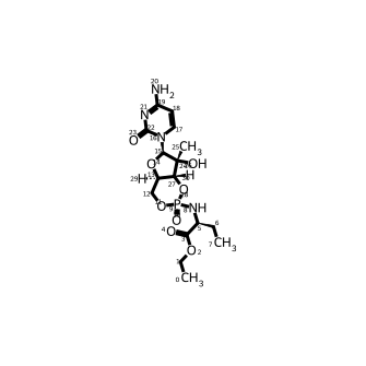 CCOC(=O)[C@H](CC)NP1(=O)OC[C@H]2O[C@@H](n3ccc(N)nc3=O)[C@](C)(O)[C@@H]2O1